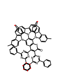 Cc1ccc2c(c1)c1cc(C)ccc1n2-c1cc2c(-c3nc(-c4ccccc4)nc(-c4ccccc4)n3)c(-c3nc(-c4ccccc4)nc(-c4ccccc4)n3)c(=O)sc2c(-n2c3ccc(C)cc3c3cc(C)ccc32)c1-n1c2ccc(C)cc2c2cc(C)ccc21